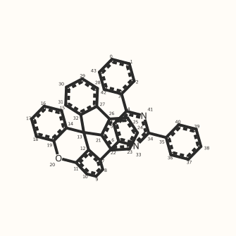 c1ccc(-c2cc(-c3cccc4c3C3(c5ccccc5O4)c4ccccc4-c4ccccc43)nc(-c3ccccc3)n2)cc1